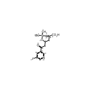 CC(C)(C)[Si](C)(C)OC(CNC(=O)O)CC(=O)c1cncc(F)c1